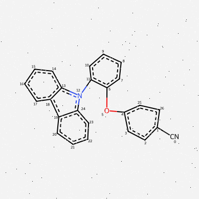 N#Cc1ccc(Oc2ccccc2-n2c3ccccc3c3ccccc32)cc1